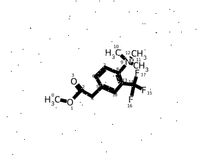 COC(=O)Cc1ccc([N+](C)(C)C)c(C(F)(F)F)c1